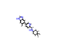 Cc1cc2[nH]cnc2cc1-c1ccc(CNC2CCC(C)(C)CC2)nc1